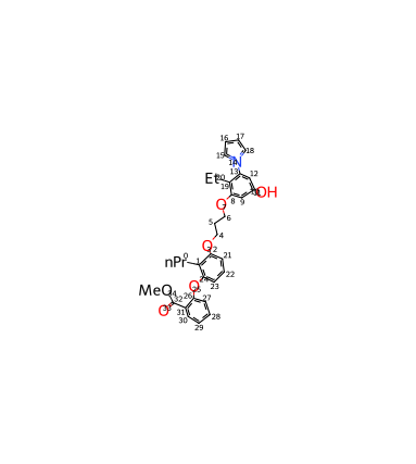 CCCc1c(OCCCOc2cc(O)cc(-n3cccc3)c2CC)cccc1Oc1ccccc1C(=O)OC